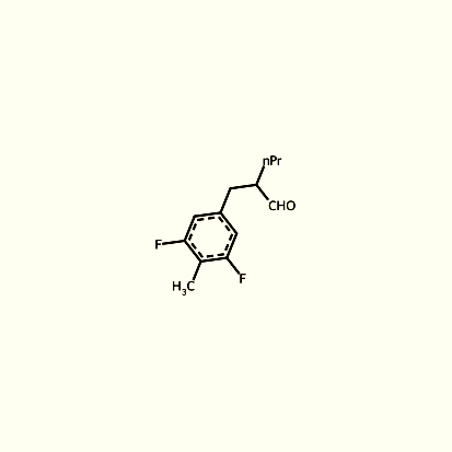 CCCC(C=O)Cc1cc(F)c(C)c(F)c1